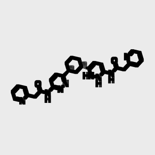 O=C(Cc1ccccn1)NC1=CC=C([C@H]2CCC[C@H](c3ccc(NC(=O)Cc4ccccn4)nn3)C2)NN1